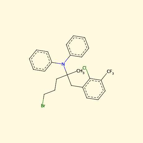 CC(CCCBr)(Cc1cccc(C(F)(F)F)c1Cl)N(c1ccccc1)c1ccccc1